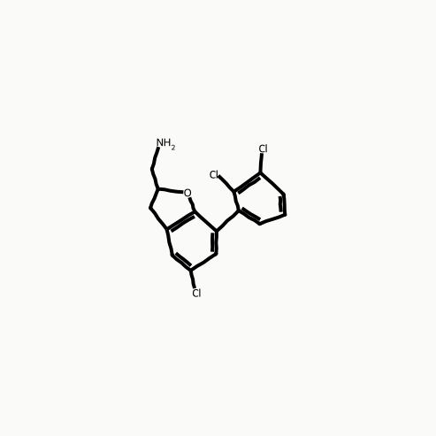 NCC1Cc2cc(Cl)cc(-c3cccc(Cl)c3Cl)c2O1